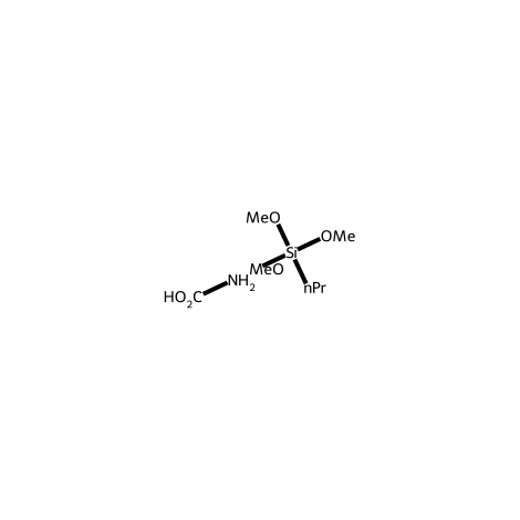 CCC[Si](OC)(OC)OC.NC(=O)O